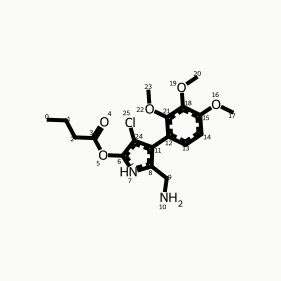 CCCC(=O)Oc1[nH]c(CN)c(-c2ccc(OC)c(OC)c2OC)c1Cl